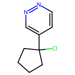 ClC1(c2ccnnc2)CCCC1